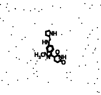 Cn1nc(C2CCC(=O)NC2=O)c2ccc(NC[C@H]3CCCN3)cc21